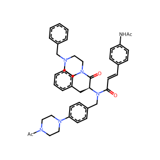 CC(=O)Nc1ccc(/C=C/C(=O)N(Cc2ccc(N3CCN(C(C)=O)CC3)cc2)[C@@H](Cc2ccccc2)C(=O)N2CCN(Cc3ccccc3)CC2)cc1